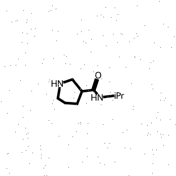 CC(C)NC(=O)C1CCCNC1